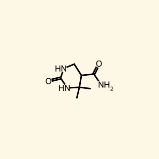 CC1(C)NC(=O)NCC1C(N)=O